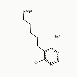 CCCCCCCCCCCCc1cccnc1Cl.[NaH]